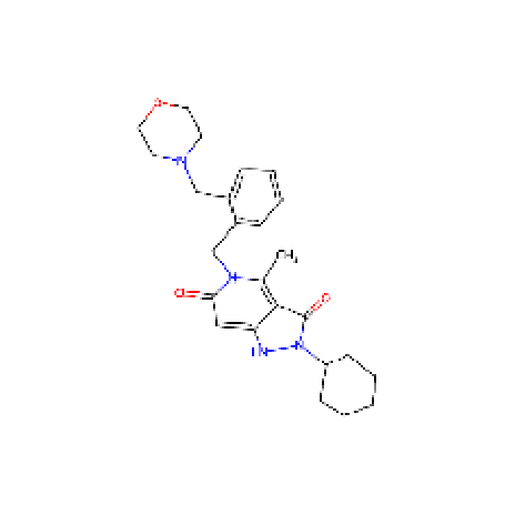 Cc1c2c(=O)n(C3CCCCC3)[nH]c2cc(=O)n1Cc1ccccc1CN1CCOCC1